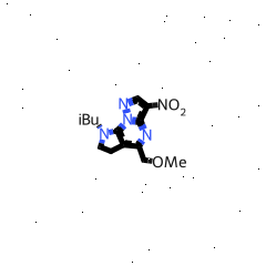 CCC(C)N1CCc2c(COC)nc3c([N+](=O)[O-])cnn3c21